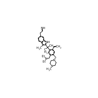 C=Cc1cc(SN2CCN(C)CC2)c(CN(CC)CC)cc1C(C)(C)c1[nH]c2cc(CC=N)ccc2c1C